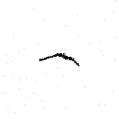 CCCCCCCCCCCCCCCCOC(C)c1ccc(C(=O)Oc2ccc(-c3ccc(OCCCCCCCC)cc3)cc2)cc1